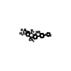 CN(c1ccc(-c2ccc(-n3ccnc3)cc2O)nn1)[C@@H]1C[C@]2(C)C[C@@]1(C)CN2C